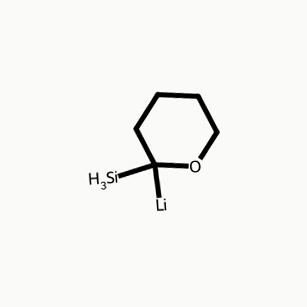 [Li][C]1([SiH3])CCCCO1